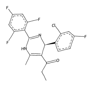 CCC(=O)C1=C(C)NC(c2c(F)cc(F)cc2F)=N[C@H]1c1ccc(F)cc1Cl